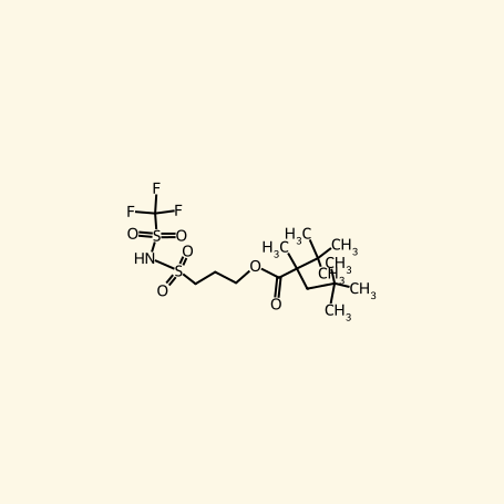 CC(C)(C)CC(C)(C(=O)OCCCS(=O)(=O)NS(=O)(=O)C(F)(F)F)C(C)(C)C